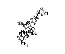 CC(C)(C)OC(=O)C(CCn1nnc2ccc(C(F)(F)F)cc2c1=O)(CC(=O)c1ccc(OCc2cccc(Cl)c2)cc1)C(=O)OC(C)(C)C